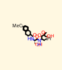 COc1ccc2c(c1)CCC(C(=O)N[C@@H](CO)C(=O)NC(CC(C)C)C(=O)C1(CO)CO1)C2